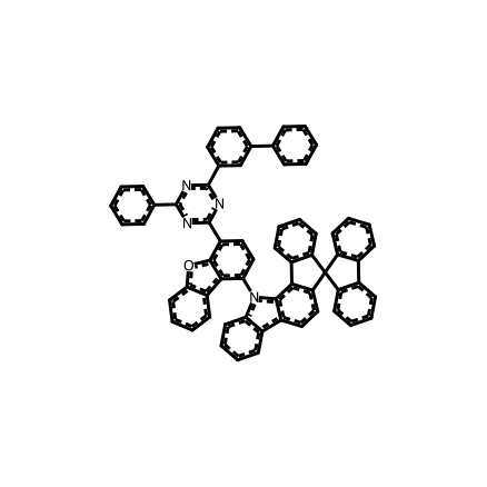 c1ccc(-c2cccc(-c3nc(-c4ccccc4)nc(-c4ccc(-n5c6ccccc6c6ccc7c(c65)-c5ccccc5C75c6ccccc6-c6ccccc65)c5c4oc4ccccc45)n3)c2)cc1